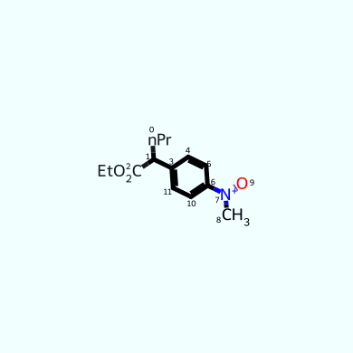 CCCC(C(=O)OCC)c1ccc([N+](C)=O)cc1